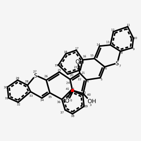 O=C1C(O)=C(/C=C2/Sc3ccccc3C=C2c2ccccc2)C(O)=C1/C=C1/Sc2ccccc2C=C1c1ccccc1